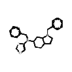 C1=C(N(Cc2ccccc2)C2CCC3CCN(Cc4ccccc4)C3C2)OCO1